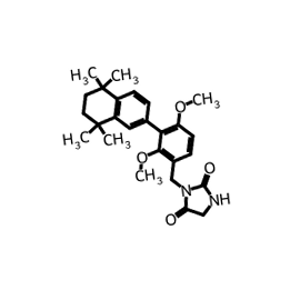 COc1ccc(CN2C(=O)CNC2=O)c(OC)c1-c1ccc2c(c1)C(C)(C)CCC2(C)C